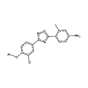 Cc1cc(N)ccc1-c1nc(-c2ccc(OC(C)C)c(Cl)c2)no1